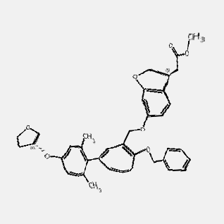 COC(=O)C[C@@H]1COc2cc(OCc3cc(-c4c(C)cc(O[C@@H]5CCOC5)cc4C)ccc3OCc3ccccc3)ccc21